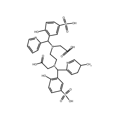 CC1C=NC(C(c2cc(S(=O)(=O)O)ccc2O)N(CCN(CC(=O)O)C(c2ccccn2)c2cc(S(=O)(=O)O)ccc2O)CC(=O)O)=CC1